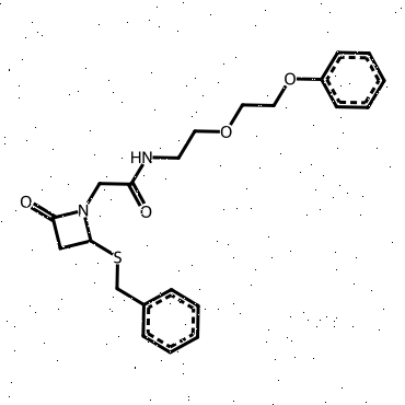 O=C(CN1C(=O)CC1SCc1ccccc1)NCCOCCOc1ccccc1